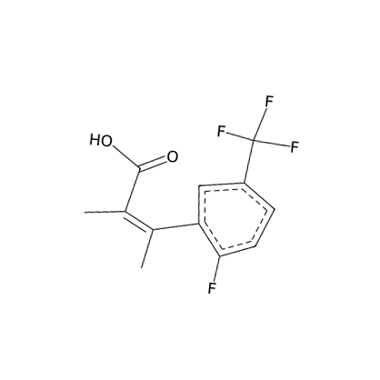 CC(C(=O)O)=C(C)c1cc(C(F)(F)F)ccc1F